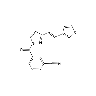 N#Cc1cccc(C(=O)n2ccc(C=Cc3ccsc3)n2)c1